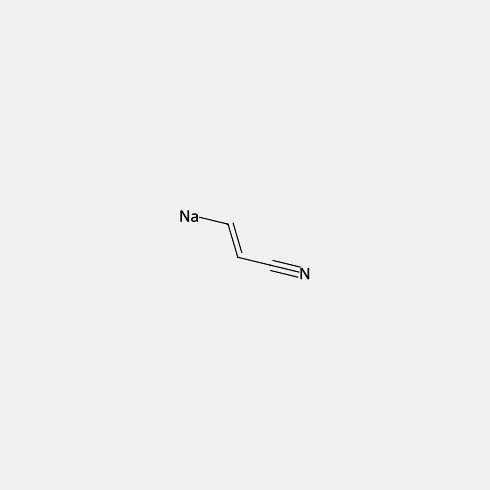 N#CC=[CH][Na]